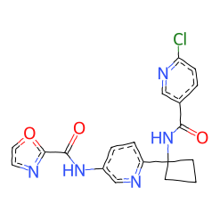 O=C(NC1(c2ccc(NC(=O)c3ncco3)cn2)CCC1)c1ccc(Cl)nc1